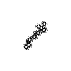 c1ccc(-c2c3ccccc3c(-c3ccc4c(c3)sc3cc(-c5ccc6sc7c8ccccc8ccc7c6c5)ccc34)c3ccccc23)cc1